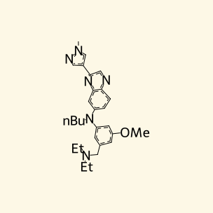 CCCCN(c1cc(CN(CC)CC)cc(OC)c1)c1ccc2ncc(-c3cnn(C)c3)nc2c1